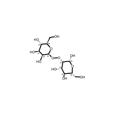 OC[C@H]1O[C@@H](OO[C@H]2[C@@H](O)[C@H](O)[C@@H](CO)O[C@H]2O)[C@@H](O)[C@@H](O)[C@@H]1O